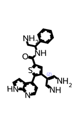 N=C/C(=C\N)c1cc(C(=O)NC(CN)c2ccccc2)sc1-c1ccnc2[nH]ccc12